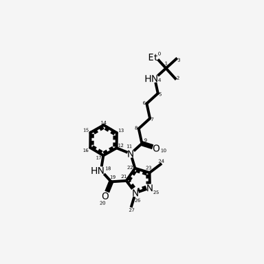 CCC(C)(C)NCCCCC(=O)N1c2ccccc2NC(=O)c2c1c(C)nn2C